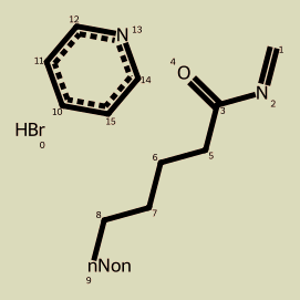 Br.C=NC(=O)CCCCCCCCCCCCC.c1ccncc1